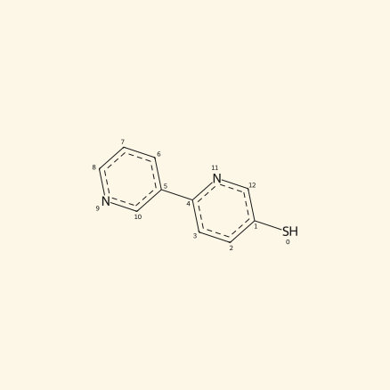 Sc1ccc(-c2cccnc2)nc1